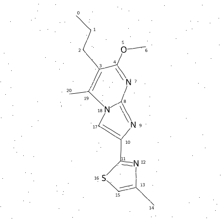 CCCc1c(OC)nc2nc(-c3nc(C)cs3)cn2c1C